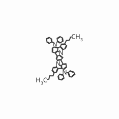 CCCCc1ccc2c(c1)c1c(N(c3ccccc3)c3ccccc3)ccc3c4cc5c(cc4n2c31)c1ccc(N(c2ccccc2)c2ccccc2)c2c3cc(CCCC)ccc3n5c12